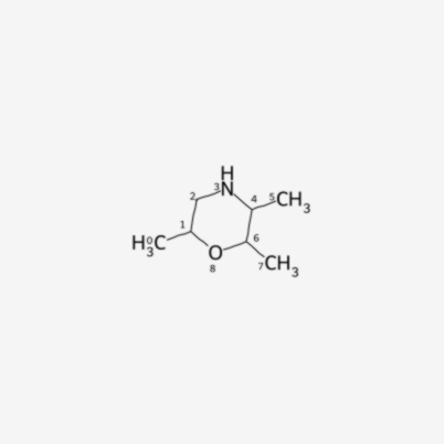 CC1CNC(C)C(C)O1